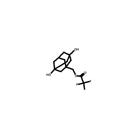 CC(F)(F)C(=O)OCC12CC3CC(O)(CC(O)(C3)C1)C2